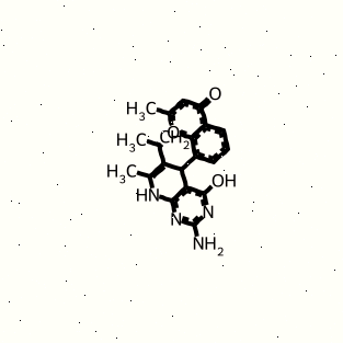 C=C(C)C1=C(C)Nc2nc(N)nc(O)c2C1c1cccc2c(=O)cc(C)oc12